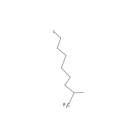 CC(CCCCCCI)C(F)(F)F